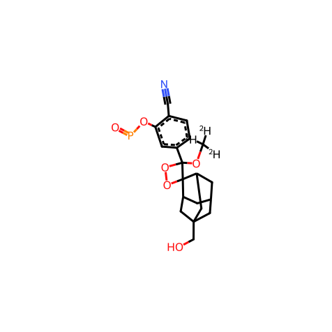 [2H]C([2H])([2H])OC1(c2ccc(C#N)c(OP=O)c2)OOC12C1CC3CC2CC(CO)(C3)C1